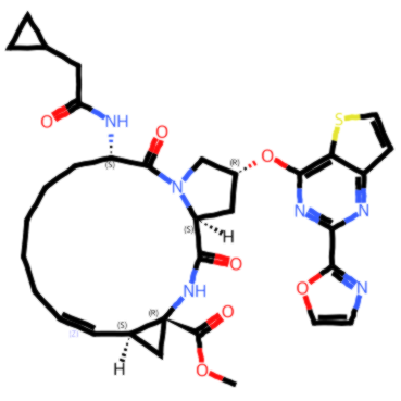 COC(=O)[C@@]12C[C@H]1/C=C\CCCCC[C@H](NC(=O)CC1CC1)C(=O)N1C[C@H](Oc3nc(-c4ncco4)nc4ccsc34)C[C@H]1C(=O)N2